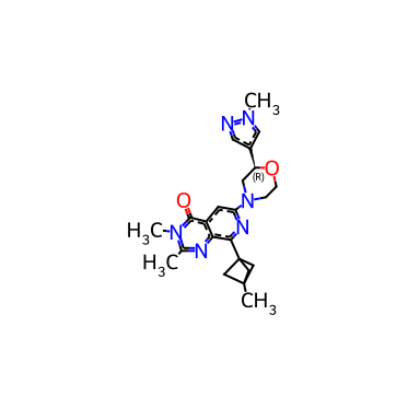 Cc1nc2c(C34CC(C)(C3)C4)nc(N3CCO[C@H](c4cnn(C)c4)C3)cc2c(=O)n1C